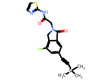 C[Si](C)(C)C#Cc1cc(F)c2c(c1)C(=O)N(CC(=O)Nc1nccs1)C2